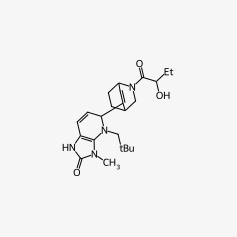 CCC(O)C(=O)N1CC2CCC1C=C2C1C=Cc2[nH]c(=O)n(C)c2N1CC(C)(C)C